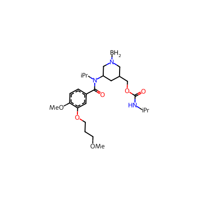 BN1CC(COC(=O)NC(C)C)CC(N(C(=O)c2ccc(OC)c(OCCCOC)c2)C(C)C)C1